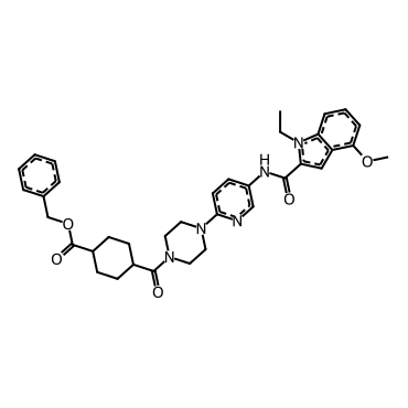 CCn1c(C(=O)Nc2ccc(N3CCN(C(=O)C4CCC(C(=O)OCc5ccccc5)CC4)CC3)nc2)cc2c(OC)cccc21